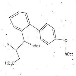 CCCCCCCCOc1ccc(-c2ccccc2C(CCCCCC)C(F)CC(=O)O)cc1